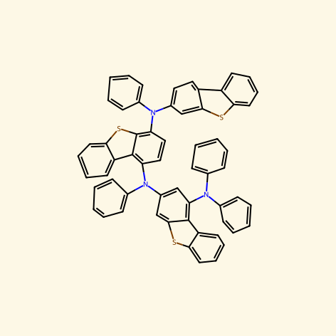 c1ccc(N(c2ccc3c(c2)sc2ccccc23)c2ccc(N(c3ccccc3)c3cc(N(c4ccccc4)c4ccccc4)c4c(c3)sc3ccccc34)c3c2sc2ccccc23)cc1